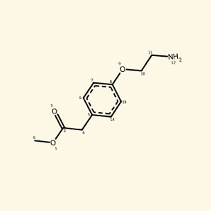 COC(=O)Cc1ccc(OCCN)cc1